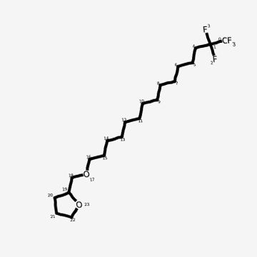 FC(F)(F)C(F)(F)CCCCCCCCCCCCCOCC1CCCO1